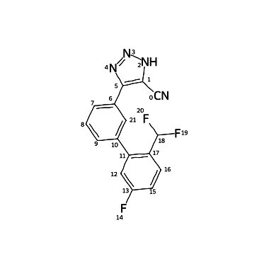 N#Cc1[nH]nnc1-c1cccc(-c2cc(F)ccc2C(F)F)c1